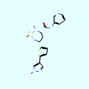 CN1[C@H](C(=O)Nc2cccnc2)C[C@H](c2ccc(-c3cnn(C)c3)s2)NS1(=O)=O